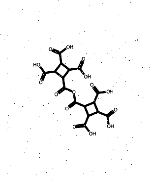 O=C(O)C1C(C(=O)O)C(C(=O)OC(=O)C2C(C(=O)O)C(C(=O)O)C2C(=O)O)C1C(=O)O